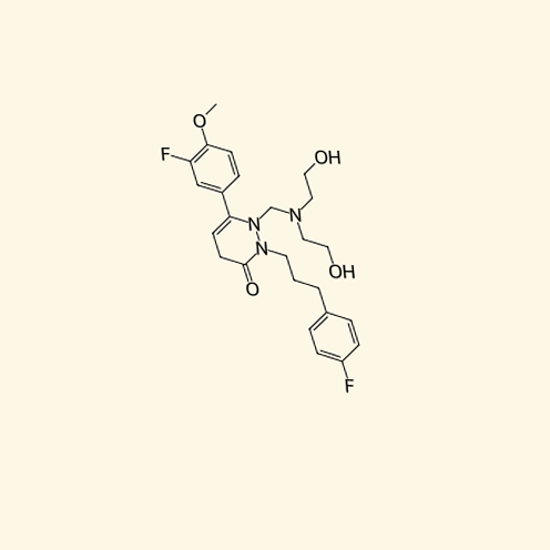 COc1ccc(C2=CCC(=O)N(CCCc3ccc(F)cc3)N2CN(CCO)CCO)cc1F